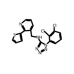 Clc1cccc(-n2nnnc2NCc2cccnc2-c2cccs2)c1Cl